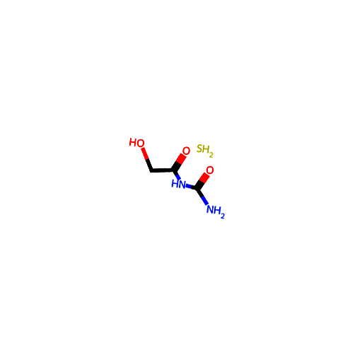 NC(=O)NC(=O)CO.S